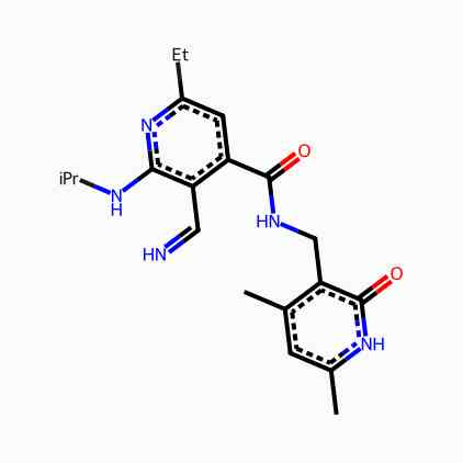 CCc1cc(C(=O)NCc2c(C)cc(C)[nH]c2=O)c(C=N)c(NC(C)C)n1